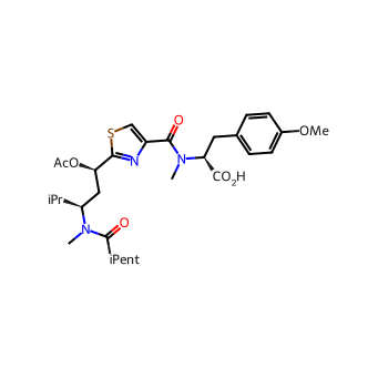 CCCC(C)C(=O)N(C)[C@H](C[C@@H](OC(C)=O)c1nc(C(=O)N(C)[C@@H](Cc2ccc(OC)cc2)C(=O)O)cs1)C(C)C